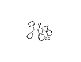 O=C1N(C(c2ccccc2)c2ccccc2)c2ccccc2C12COc1ccc3c(c12)OCCO3